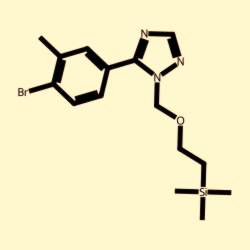 Cc1cc(-c2ncnn2COCC[Si](C)(C)C)ccc1Br